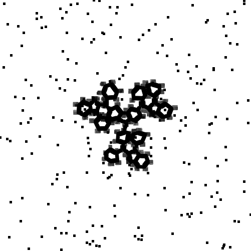 c1ccc(N(c2ccc(-n3c4ccc(N(c5ccccc5)c5nc6ccccc6n5-c5ccccc5)cc4c4cc(N(c5ccccc5)c5nc6ccccc6n5-c5ccccc5)ccc43)cc2)c2nc3ccccc3n2-c2ccccc2)cc1